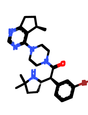 C[C@@H]1CCc2ncnc(N3CCN(C(=O)[C@@H](c4cccc(Br)c4)[C@@H]4CCC(C)(C)N4)CC3)c21